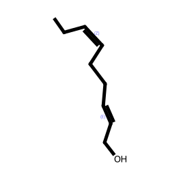 CC/C=C\CC/C=C/CO